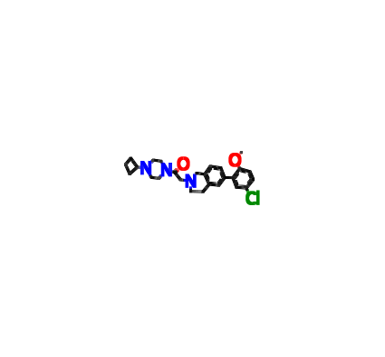 COc1ccc(Cl)cc1-c1ccc2c(c1)CCN(CC(=O)N1CCN(C3CCC3)CC1)C2